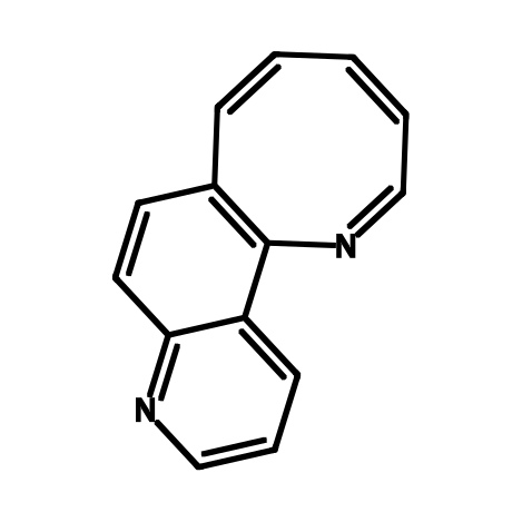 C1=CC=Nc2c(ccc3ncccc23)C=C1